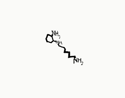 NCCCCCCNC1CCCCC1N